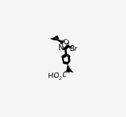 O=C(O)[C@H]1C[C@@H]1c1ccc(-c2nc(C3CC3)oc2Br)cc1